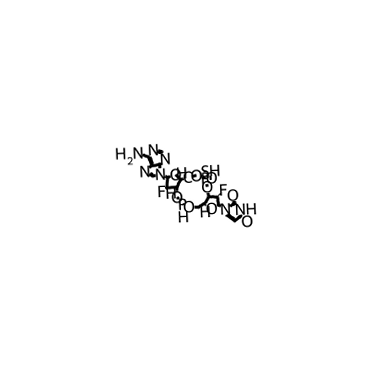 Nc1ncnc2c1ncn2C1O[C@@H]2COP(=O)(S)OC3[C@H](F)C(n4ccc(=O)[nH]c4=O)O[C@@H]3COPO[C@@H]2C1F